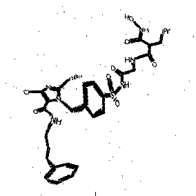 CCCCc1nc(Cl)c(C(=O)NCCCc2ccccc2)n1Cc1ccc(S(=O)(=O)NC(=O)CNC(=O)C(CC(C)C)C(=O)NO)cc1